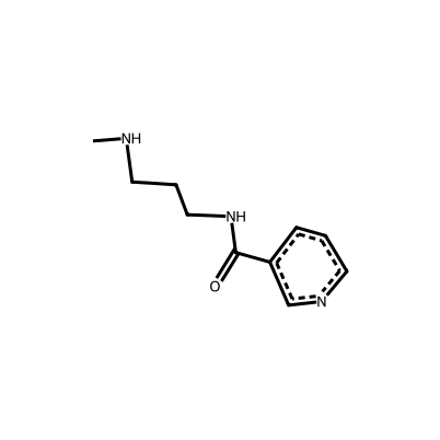 CNCCCNC(=O)c1cccnc1